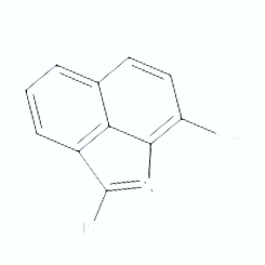 Cc1ccc2cccc3c2c1N=C3S